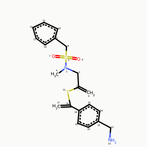 C=C(CN(C)S(=O)(=O)Cc1ccccc1)SC(=C)c1ccc(CN)cc1